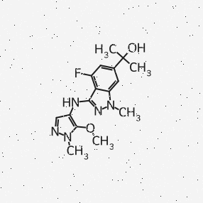 COc1c(Nc2nn(C)c3cc(C(C)(C)O)cc(F)c23)cnn1C